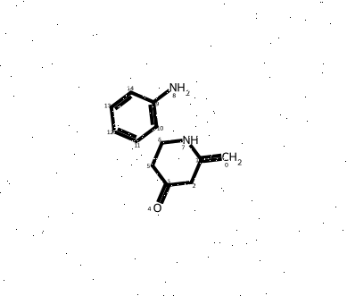 C=C1CC(=O)CCN1.Nc1ccccc1